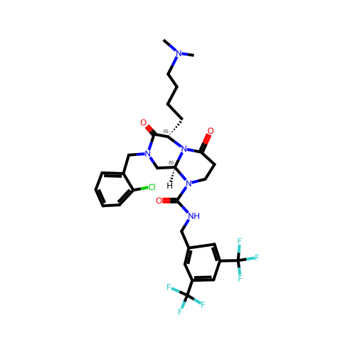 CN(C)CCCC[C@H]1C(=O)N(Cc2ccccc2Cl)C[C@@H]2N(C(=O)NCc3cc(C(F)(F)F)cc(C(F)(F)F)c3)CCC(=O)N21